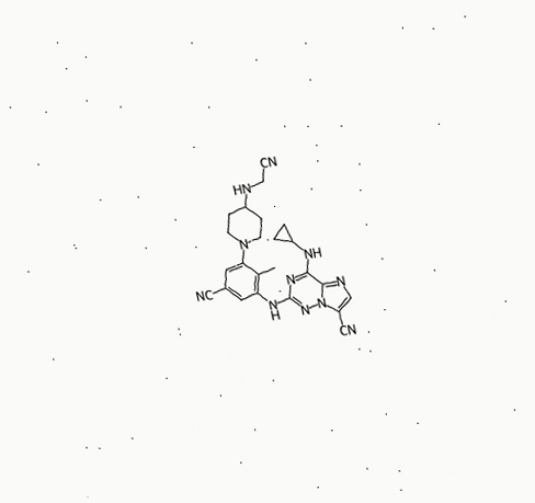 Cc1c(Nc2nc(NC3CC3)c3ncc(C#N)n3n2)cc(C#N)cc1N1CCC(NCC#N)CC1